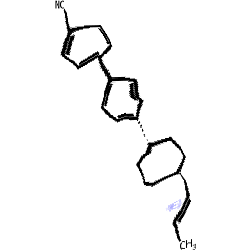 C/C=C/[C@H]1CC[C@H](c2ccc(-c3ccc(C#N)cc3)cc2)CC1